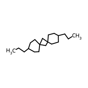 CCCC1CCC2(CC1)CC1(CCC(CCC)CC1)C2